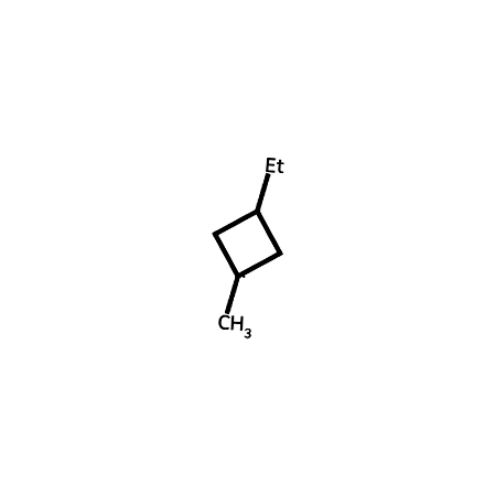 CCC1C[C](C)C1